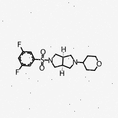 O=S(=O)(c1cc(F)cc(F)c1)N1C[C@H]2CN(C3CCOCC3)C[C@H]2C1